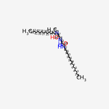 CCCCCCCC/C=C/CCCCCCCCNC(=O)CCNCC(O)CN(CC)CCCCCCCCCCCCCC